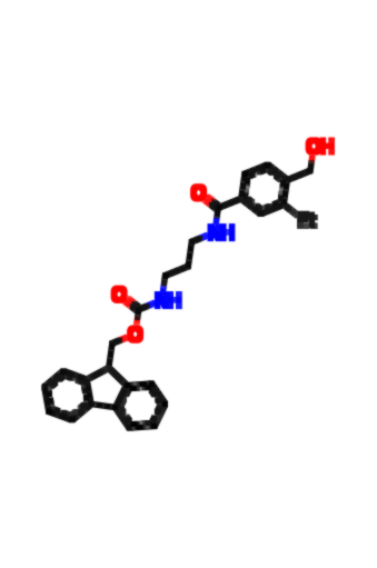 CCc1cc(C(=O)NCCCNC(=O)OCC2c3ccccc3-c3ccccc32)ccc1CO